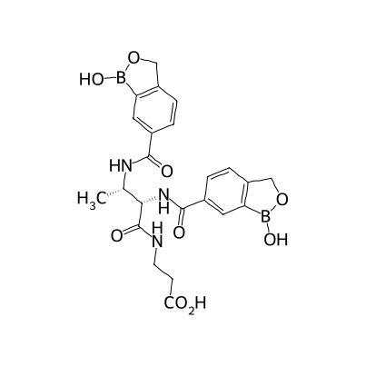 C[C@H](NC(=O)c1ccc2c(c1)B(O)OC2)[C@H](NC(=O)c1ccc2c(c1)B(O)OC2)C(=O)NCCC(=O)O